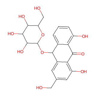 O=C1c2c(O)cccc2C(OC2OC(CO)C(O)C(O)C2O)c2cc(CO)cc(O)c21